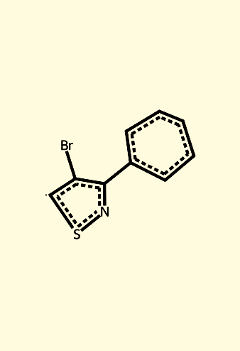 Brc1[c]snc1-c1ccccc1